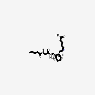 CCCCC(=S)NCC(=O)NC[C@H]1[C@@H](C/C=C\CCCC(=O)O)[C@H]2CC[C@@H]1O2